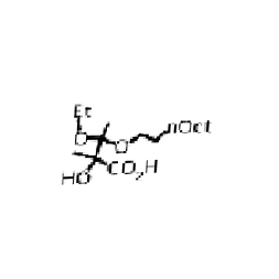 CCCCCCCCCCOC(C)(OCC)C(C)(O)C(=O)O